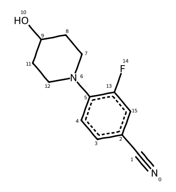 N#Cc1ccc(N2CCC(O)CC2)c(F)c1